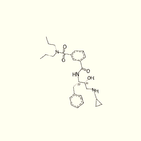 CCCN(CCC)S(=O)(=O)c1cccc(C(=O)N[C@@H](Cc2ccccc2)[C@H](O)CNC2CC2)c1